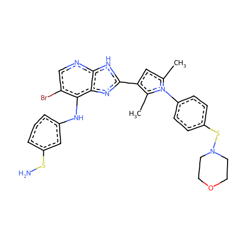 Cc1cc(-c2nc3c(Nc4cccc(SN)c4)c(Br)cnc3[nH]2)c(C)n1-c1ccc(SN2CCOCC2)cc1